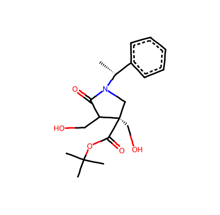 C[C@H](c1ccccc1)N1C[C@@](CO)(C(=O)OC(C)(C)C)C(CO)C1=O